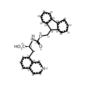 O=C(N[C@@H](Cc1cccc2ccncc12)C(=O)O)OCC1c2ccccc2-c2ccccc21